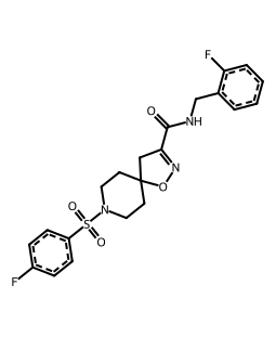 O=C(NCc1ccccc1F)C1=NOC2(CCN(S(=O)(=O)c3ccc(F)cc3)CC2)C1